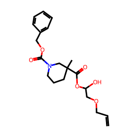 C=CCOCC(O)OC(=O)C1(C)CCCN(C(=O)OCc2ccccc2)C1